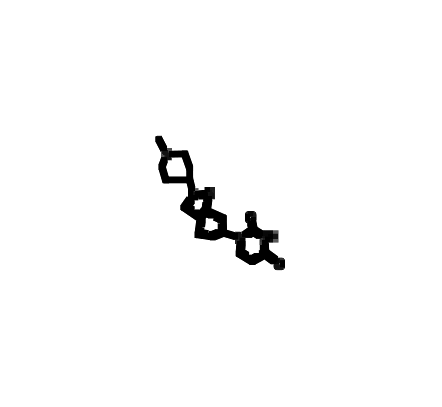 CN1CCC(n2cc3ccc(-n4ccc(=O)[nH]c4=O)cc3n2)CC1